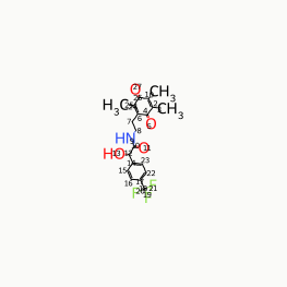 CC1=C(C)C(=O)C(CCNC(=O)C(O)c2ccc(C(F)(F)F)cc2)=C(C)C1=O